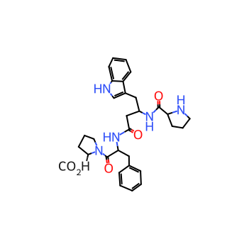 O=C(CC(Cc1c[nH]c2ccccc12)NC(=O)C1CCCN1)NC(Cc1ccccc1)C(=O)N1CCCC1C(=O)O